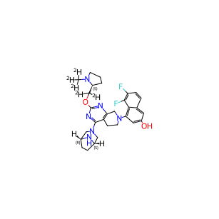 [2H]C([2H])(Oc1nc2c(c(N3C[C@H]4CC[C@@H](C3)N4)n1)CCN(c1cc(O)cc3ccc(F)c(F)c13)C2)[C@@H]1CCCN1C([2H])([2H])[2H]